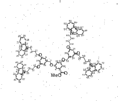 COC(=O)c1cc(OCc2cc(OCCCCn3c4ccccc4c4ccccc43)cc(OCCCCn3c4ccccc4c4ccccc43)c2)cc(OCc2cc(OCCCCn3c4ccccc4c4ccccc43)cc(OCCCCn3c4ccccc4c4ccccc43)c2)c1